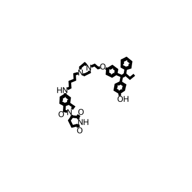 CC/C(=C(\c1ccc(O)cc1)c1ccc(OCCN2CCN(CCCCNc3ccc4c(c3)CN(C3CCC(=O)NC3=O)C4=O)CC2)cc1)c1ccccc1